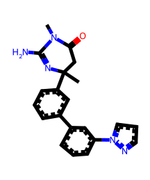 CN1C(=O)CC(C)(c2cccc(-c3cccc(-n4cccn4)c3)c2)N=C1N